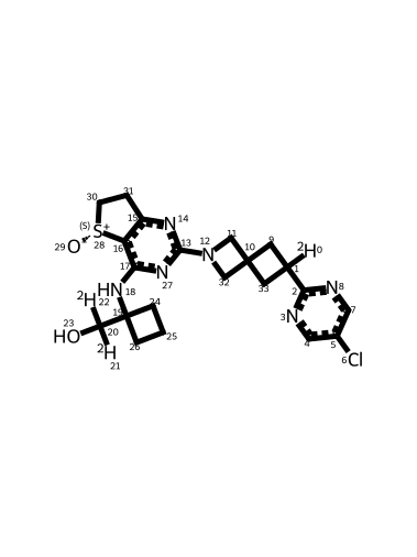 [2H]C1(c2ncc(Cl)cn2)CC2(CN(c3nc4c(c(NC5(C([2H])([2H])O)CCC5)n3)[S@+]([O-])CC4)C2)C1